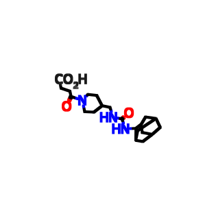 O=C(O)CCC(=O)N1CCC(CNC(=O)NC2C3CC4CC(C3)CC2C4)CC1